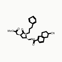 COC(=O)C[C@@H]1C[C@@H](CNC(=O)c2ccc3c(c2)CCC(C#N)C3)N(CCCc2ccccc2)C1=O